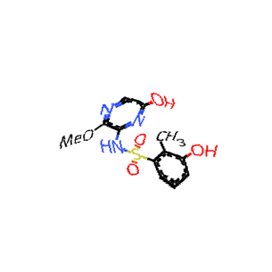 COc1ncc(O)nc1NS(=O)(=O)c1cccc(O)c1C